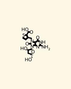 Nc1nc2c(c(=O)[nH]1)n(Cc1ccsc1C(=O)O)c(=O)n2[C@@H]1O[C@H](CO)C[C@H]1O